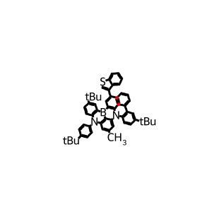 Cc1cc2c3c(c1)N(c1ccc(C(C)(C)C)cc1-c1ccccc1)c1ccc(-c4csc5ccccc45)cc1B3c1cc(C(C)(C)C)ccc1N2c1ccc(C(C)(C)C)cc1